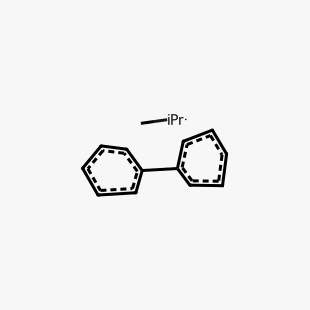 C[C](C)C.c1ccc(-c2ccccc2)cc1